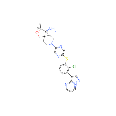 C[C@@H]1OCC2(CCN(c3cnc(Sc4cccc(-c5cnn6cccnc56)c4Cl)cn3)CC2)[C@@H]1N